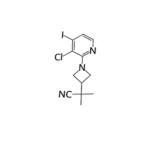 CC(C)(C#N)C1CN(c2nccc(I)c2Cl)C1